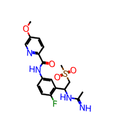 COc1ccc(C(=O)Nc2ccc(F)c(C(CS(C)(=O)=O)NC(C)=N)c2)nc1